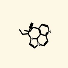 C#CC(CC)N1C=CN2C=Cc3nccc(CCC)c3C21